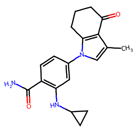 Cc1cn(-c2ccc(C(N)=O)c(NC3CC3)c2)c2c1C(=O)CCC2